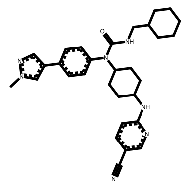 Cn1cc(-c2ccc(N(C(=O)NCC3CCCCC3)C3CCC(Nc4ccc(C#N)cn4)CC3)cc2)cn1